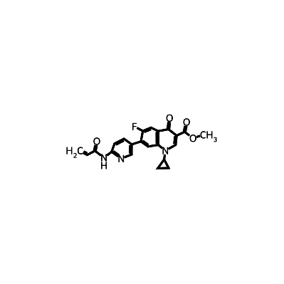 C=CC(=O)Nc1ccc(-c2cc3c(cc2F)c(=O)c(C(=O)OC)cn3C2CC2)cn1